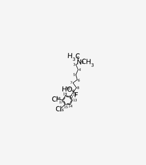 CN(C)CCCCCC[C@](O)(F)c1ccc(Cl)c(Cl)c1